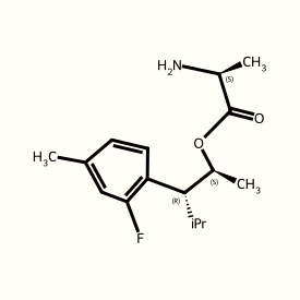 Cc1ccc([C@@H](C(C)C)[C@H](C)OC(=O)[C@H](C)N)c(F)c1